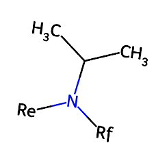 CC(C)[N]([Re])[Rf]